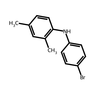 Cc1ccc(Nc2ccc(Br)cc2)c(C)c1